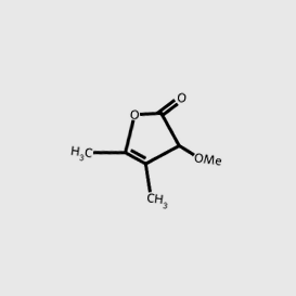 COC1C(=O)OC(C)=C1C